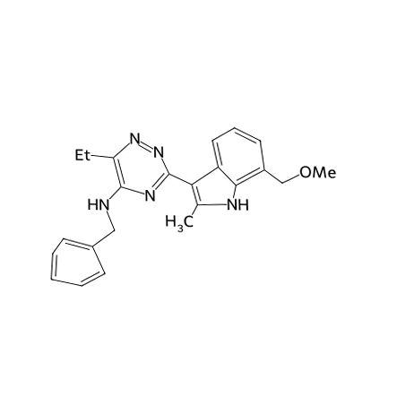 CCc1nnc(-c2c(C)[nH]c3c(COC)cccc23)nc1NCc1ccccc1